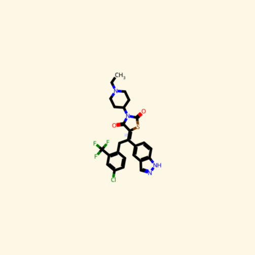 CCN1CCC(N2C(=O)S/C(=C(/Cc3ccc(Cl)cc3C(F)(F)F)c3ccc4[nH]ncc4c3)C2=O)CC1